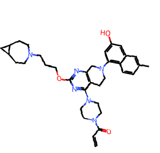 C=CC(=O)N1CCN(c2nc(OCCCN3CCC4CC4CC3)nc3c2CCN(c2cc(O)cc4cc(C)ccc24)C3)CC1